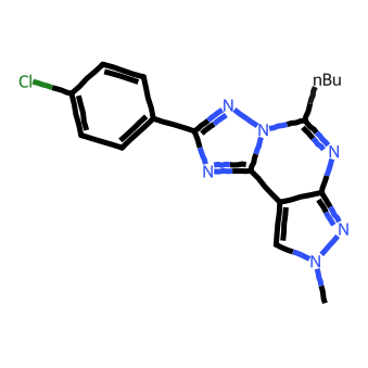 CCCCc1nc2nn(C)cc2c2nc(-c3ccc(Cl)cc3)nn12